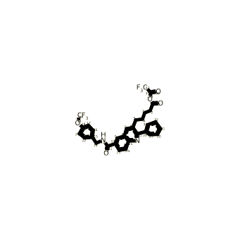 O=C(CCCCc1cc2cc(C(=O)NCc3ccc(OC(F)(F)F)cc3)ccc2nc1-c1ccccc1)OC(=O)C(F)(F)F